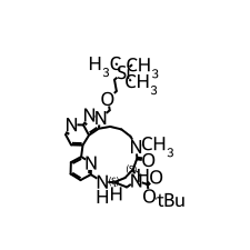 CN1CCCc2c3c(ccnc3nn2COCC[Si](C)(C)C)-c2cccc(n2)N[C@H]2C[C@@H](C1=O)N(C(=O)OC(C)(C)C)C2